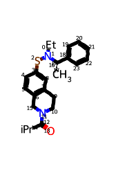 CCN(Sc1ccc2c(c1)CCN(C(=O)C(C)C)C2)[C@@H](C)c1ccccc1